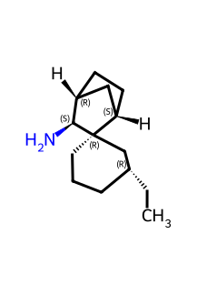 CC[C@@H]1CCC[C@@]2(C1)[C@H]1CC[C@H](C1)[C@@H]2N